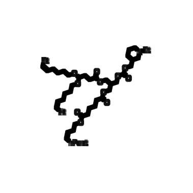 CC/C=C\CCCCOC(CCC(=O)OCC(COC(=O)CCCCC(=O)OCC/C=C\CCCCC)COC(=O)OCC1CCCN(CC)C1)OCCCC/C=C\CC